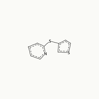 c1ccc(Sc2ccsc2)nc1